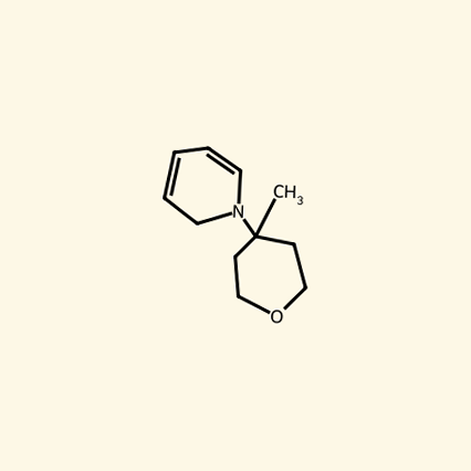 CC1(N2C=CC=CC2)CCOCC1